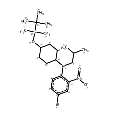 CC(C)CN(c1ccc(Br)cc1[N+](=O)[O-])C1CCC(O[Si](C)(C)C(C)(C)C)CC1